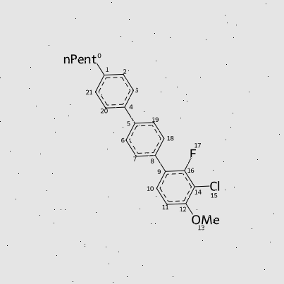 CCCCCc1ccc(-c2ccc(-c3ccc(OC)c(Cl)c3F)cc2)cc1